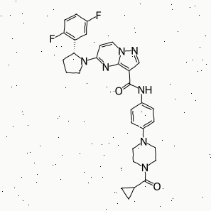 O=C(Nc1ccc(N2CCN(C(=O)C3CC3)CC2)cc1)c1cnn2ccc(N3CCC[C@@H]3c3cc(F)ccc3F)nc12